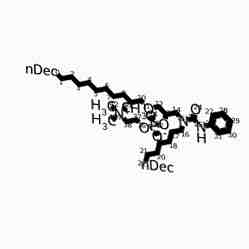 CCCCCCCCCCCCCCCCCCCCOCC(CN(CCCCCCCCCCCCCCCC)C(=O)Nc1ccccc1)OP(=O)([O-])OCC[N+](C)(C)C